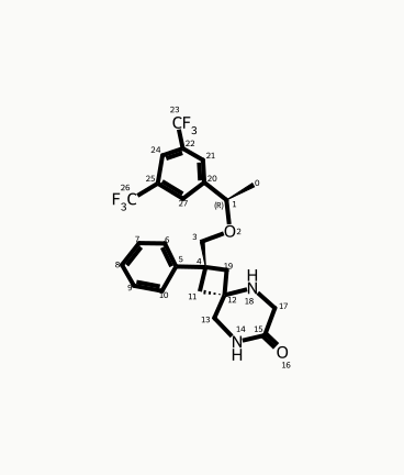 C[C@@H](OC[C@]1(c2ccccc2)C[C@]2(CNC(=O)CN2)C1)c1cc(C(F)(F)F)cc(C(F)(F)F)c1